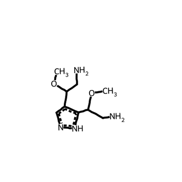 COC(CN)c1cn[nH]c1C(CN)OC